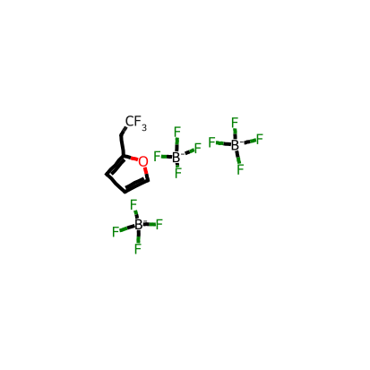 FC(F)(F)Cc1ccco1.F[B-](F)(F)F.F[B-](F)(F)F.F[B-](F)(F)F